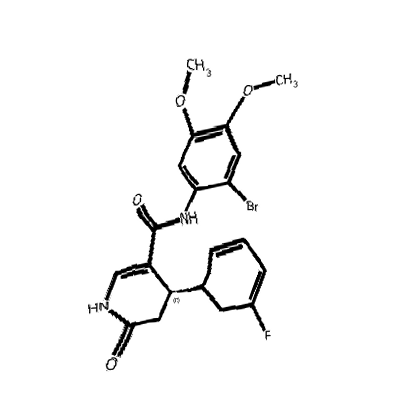 COc1cc(Br)c(NC(=O)C2=CNC(=O)C[C@@H]2C2C=CC=C(F)C2)cc1OC